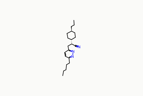 CCCCCc1ccc(CC(C#N)[C@H]2CC[C@H](CCC)CC2)nn1